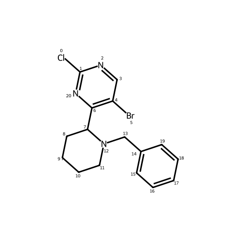 Clc1ncc(Br)c(C2C[CH]CCN2Cc2ccccc2)n1